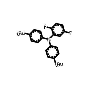 CC(C)(C)c1ccc(N(c2ccc(C(C)(C)C)cc2)c2cc(F)ccc2F)cc1